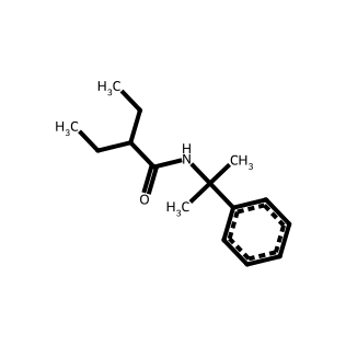 CCC(CC)C(=O)NC(C)(C)c1ccccc1